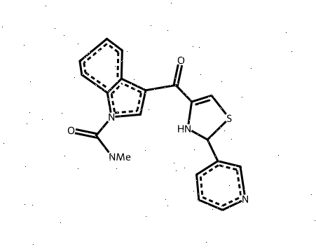 CNC(=O)n1cc(C(=O)C2=CSC(c3cccnc3)N2)c2ccccc21